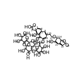 O=C(O)Cc1ccc2cc(CCOC3CC4OC(=O)C=C4C=C3O)cc(OCC3OC(OC4C(CO)OC(OC5C(CO)OC(O)C(O)C5O)C(O)C4O)C(O)C(O)C3O)c(=O)c2c1O